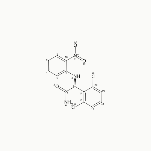 NC(=O)[C@@H](Nc1ccccc1[N+](=O)[O-])c1c(Cl)cccc1Cl